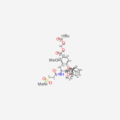 CNS(=O)(=O)CCC(=O)NC(Cc1cccc(C(=O)OCOC(=O)C(C)(C)C)c1OC)B1OC2CC3CC(C3(C)C)C2(C)O1